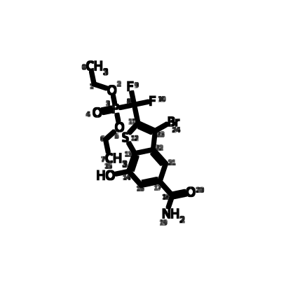 CCOP(=O)(OCC)C(F)(F)c1sc2c(O)cc(C(N)=O)cc2c1Br